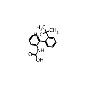 CC(C)(C)c1ccccc1-c1ccccc1NC(=O)O